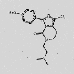 COc1ccc(-n2nc(C(F)(F)F)c3c2C(=O)N(CCN(C)C)CC3)cc1